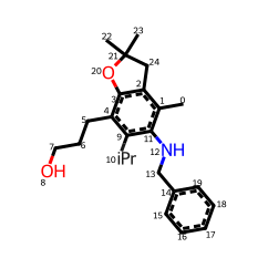 Cc1c2c(c(CCCO)c(C(C)C)c1NCc1ccccc1)OC(C)(C)C2